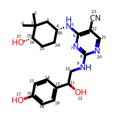 CC1(C)C[C@H](Nc2nc(NCC(O)c3ccc(O)cc3)ncc2C#N)CC[C@@H]1O